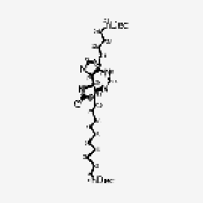 CCCCCCCCCCCCCCCCCCCCn1c2ncnc3c(ncn3CCCCCCCCCCCCCC)c-2nc1=O